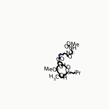 COC(=O)NC/C=C\c1nc(CC/C=C\C(=O)O[C@@H]2CC3C[C@H](OC)CC4O[C@@H](CCC4C)C[C@@H](/C=C/CC(C)C)OC(=O)C[C@H](C2)O3)co1